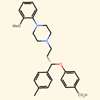 COc1ccccc1N1CCN(CC[C@H](Oc2ccc(C(=O)O)cc2)c2ccc(C)cc2)CC1